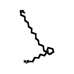 CCCCCCCCCCCCCC[N+]1(CCCCCC)CCCC1